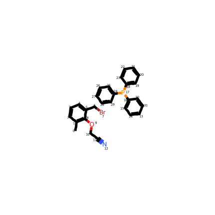 Cc1cccc(CBr)c1OCC#N.c1ccc(P(c2ccccc2)c2ccccc2)cc1